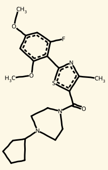 COc1cc(F)c(-c2nc(C)c(C(=O)N3CCN(C4CCCC4)CC3)s2)c(OC)c1